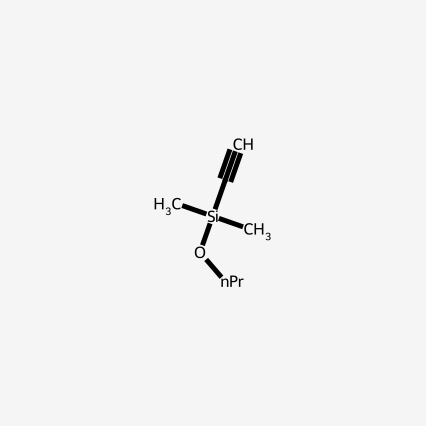 C#C[Si](C)(C)OCCC